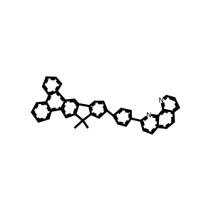 CC1(C)c2cc(-c3ccc(-c4ccc5ccc6cccnc6c5n4)cc3)ccc2-c2cc3c4ccccc4c4ccccc4c3cc21